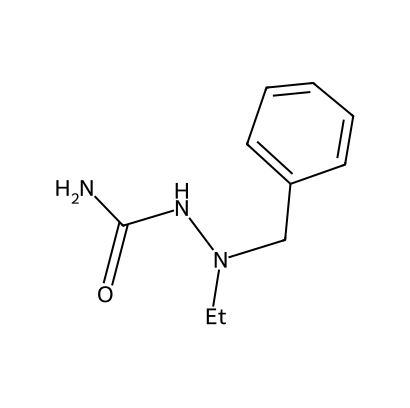 CCN(Cc1ccccc1)NC(N)=O